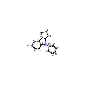 Cc1ccc2c(c1)C1CCCC1N2c1ccccc1